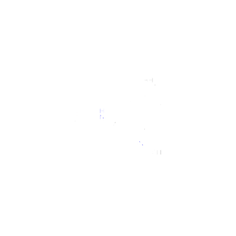 Bc1ccc(NC)c(C(=O)NC=O)c1